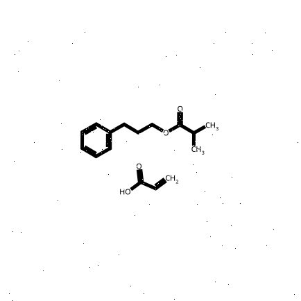 C=CC(=O)O.CC(C)C(=O)OCCCc1ccccc1